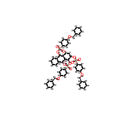 O=S(=O)(Oc1ccc2c(OS(=O)(=O)c3ccc(OCc4ccccc4)cc3)c3ccccc3cc2c1OS(=O)(=O)c1ccc(OCc2ccccc2)cc1)c1ccc(OCc2ccccc2)cc1